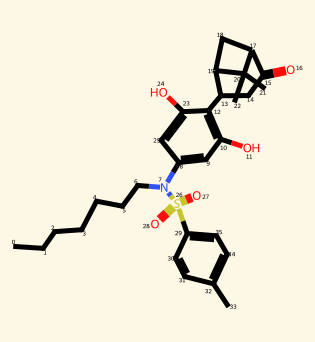 CCCCCCCN(c1cc(O)c(C2CC(=O)C3CC2C3(C)C)c(O)c1)S(=O)(=O)c1ccc(C)cc1